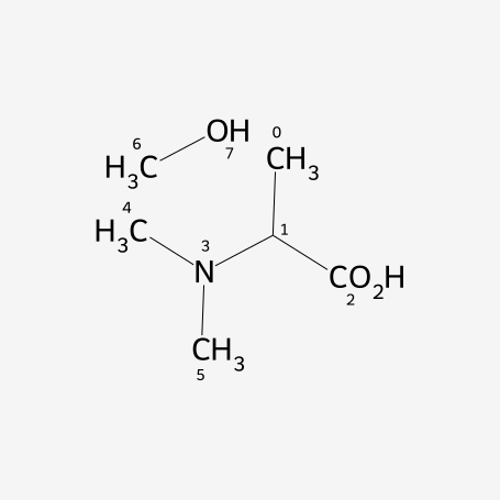 CC(C(=O)O)N(C)C.CO